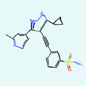 Cc1cc(-c2n[nH]c(C3CC3)c2C#Cc2cccc(S(N)(=O)=O)c2)ccn1